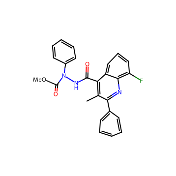 COC(=O)N(NC(=O)c1c(C)c(-c2ccccc2)nc2c(F)cccc12)c1ccccc1